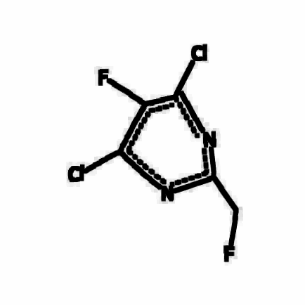 FCc1nc(Cl)c(F)c(Cl)n1